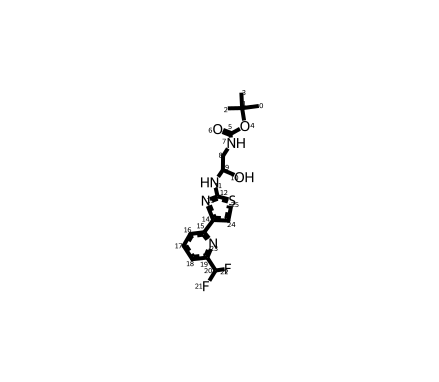 CC(C)(C)OC(=O)NCC(O)Nc1nc(-c2cccc(C(F)F)n2)cs1